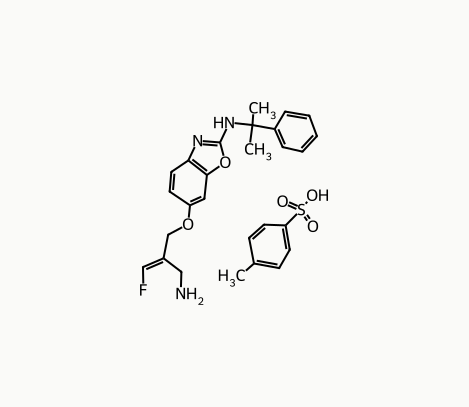 CC(C)(Nc1nc2ccc(OC/C(=C/F)CN)cc2o1)c1ccccc1.Cc1ccc(S(=O)(=O)O)cc1